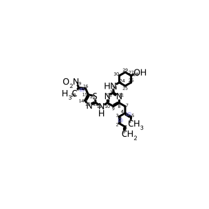 C=C/C=C\C(=C/C)Cc1cc(Nc2ncc(/C=C(\C)[N+](=O)[O-])s2)nc(NC2CCC(O)CC2)n1